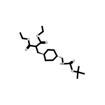 CCOC(=O)C(C[C@H]1CC[C@H](CNC(=O)OC(C)(C)C)CC1)C(=O)OCC